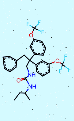 CCC(C)NC(=O)NCC(Cc1ccccc1)(c1cccc(OC(F)(F)F)c1)c1cccc(OC(F)(F)F)c1